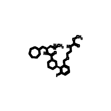 CNC[C@H](CC1CCCCCC1)NC(=O)N1CCC[C@H](c2c(F)cccc2COCCNC(=O)OC)C1